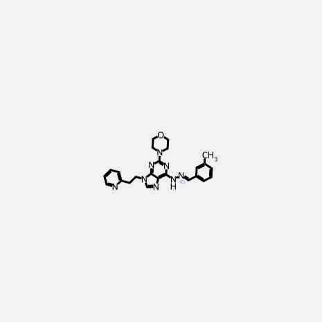 Cc1cccc(/C=N/Nc2nc(N3CCOCC3)nc3c2ncn3CCc2ccccn2)c1